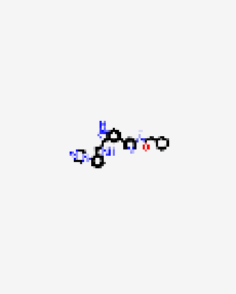 CN1CCN(c2cccc3[nH]c(-c4n[nH]c5ccc(-c6cncc(NC(=O)CC7CCCCC7)c6)cc45)cc23)CC1